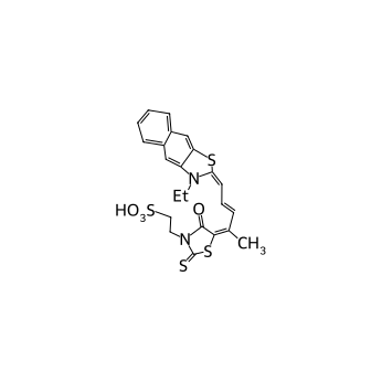 CCN1C(=CC=CC(C)=C2SC(=S)N(CCS(=O)(=O)O)C2=O)Sc2cc3ccccc3cc21